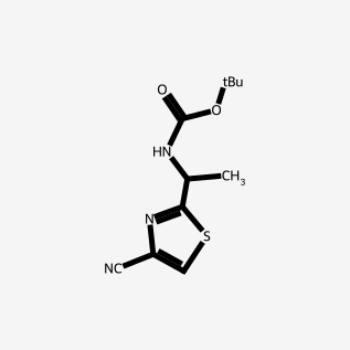 CC(NC(=O)OC(C)(C)C)c1nc(C#N)cs1